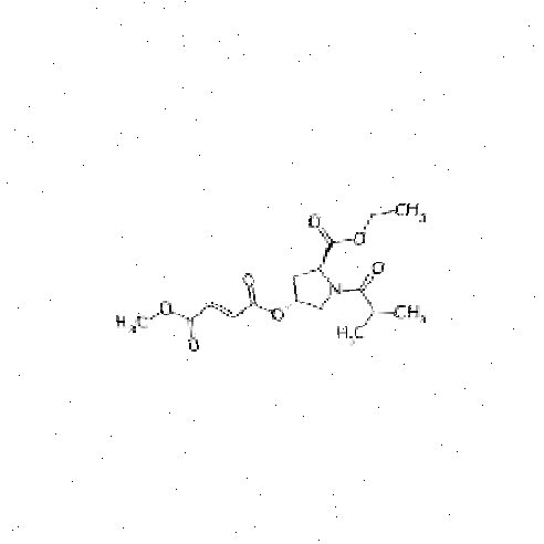 CCOC(=O)[C@@H]1C[C@@H](OC(=O)/C=C/C(=O)OC)CN1C(=O)C(C)C